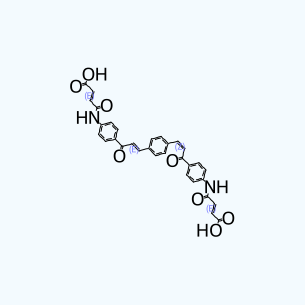 O=C(O)/C=C/C(=O)Nc1ccc(C(=O)/C=C\c2ccc(/C=C/C(=O)c3ccc(NC(=O)/C=C/C(=O)O)cc3)cc2)cc1